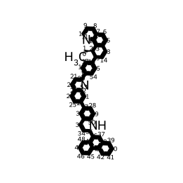 CC[C@H]1c2c(ccc3cccnc23)C=CC1c1ccc(-c2ccc3ccc(-c4ccc5c(c4)C=CC(c4cc6ccccc6c6ccccc46)N5)cc3n2)cc1